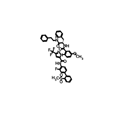 COc1ccc(-n2nc(C(F)(F)F)cc2C(=O)Nc2ccc(-c3ccccc3S(C)(=O)=O)cc2F)c(C(=O)N[C@@H](Cc2ccccc2)C(=O)NCCc2ccccc2)c1